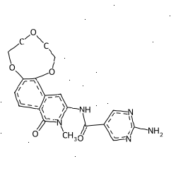 Cn1c(NC(=O)c2cnc(N)nc2)cc2c3c(ccc2c1=O)OCCOCCO3